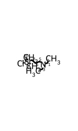 CCN(CC)CCC[Si](C)(C)Cl